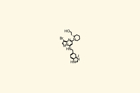 OCC[C@@H]1CCCCN1c1cc(NCC2=CC=C3NC=N[C@]3(I)C2)n2ncc(Br)c2n1